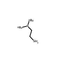 CCCCN(CC[SiH3])CCCC